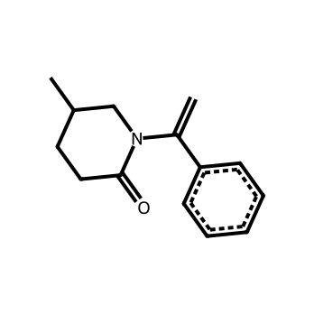 C=C(c1ccccc1)N1CC(C)CCC1=O